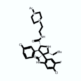 CC(=O)N1CCN(CCNC(=O)[C@@H]2N[C@H](CC(C)(C)C)[C@]3(C(=O)Nc4cc(Cl)c(F)cc43)[C@H]2c2cccc(Cl)c2)CC1